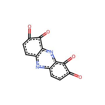 O=c1ccc2nc3ccc(=O)c(=O)c3nc2c1=O